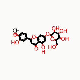 COc1ccc(C2CC(=O)c3c(O)cc(OC4OC(CO)C(O)C(O)C4O)cc3O2)cc1O